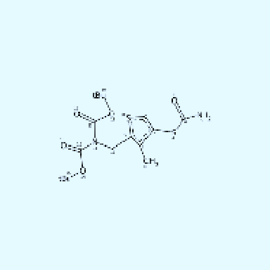 Cc1c(SC(N)=O)csc1CN(C(=O)OC(C)(C)C)C(=O)OC(C)(C)C